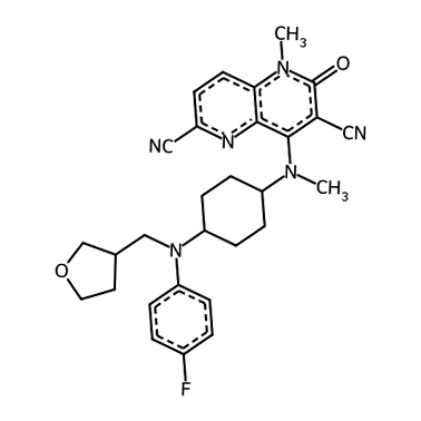 CN(c1c(C#N)c(=O)n(C)c2ccc(C#N)nc12)C1CCC(N(CC2CCOC2)c2ccc(F)cc2)CC1